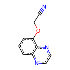 N#CCOc1[c]ccc2nccnc12